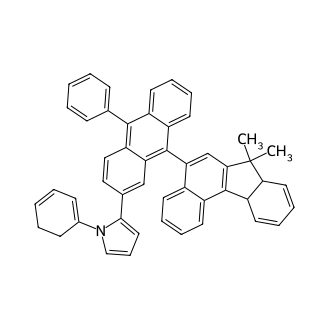 CC1(C)c2cc(-c3c4ccccc4c(-c4ccccc4)c4ccc(-c5cccn5C5=CC=CCC5)cc34)c3ccccc3c2C2C=CC=CC21